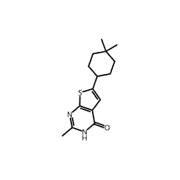 Cc1nc2sc(C3CCC(C)(C)CC3)cc2c(=O)[nH]1